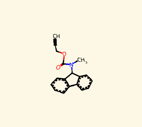 C#CCOC(=O)N(C)C1c2ccccc2-c2ccccc21